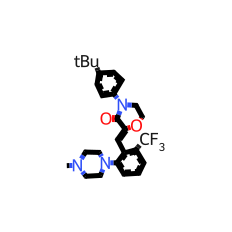 CN1CCN(c2cccc(C(F)(F)F)c2/C=C2\OCCN(c3ccc(C(C)(C)C)cc3)C2=O)CC1